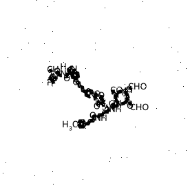 C#C[C@H]1CC(F)(F)CN1C(=O)CNC(=O)c1ccnc2ccc(OCCCCC3CCN(C(=O)CN4C(=O)CC(SC[C@H](CCCCNC(=O)CCCc5ccc(C)cc5)NC(=O)CN5CCN(COC=O)CCN(COC=O)CCN(CC(=O)O)CC5)C4=O)CC3)cc12